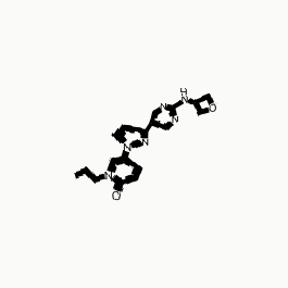 CCCn1cc(-n2ccc(-c3cnc(NC4COC4)nc3)n2)ccc1=O